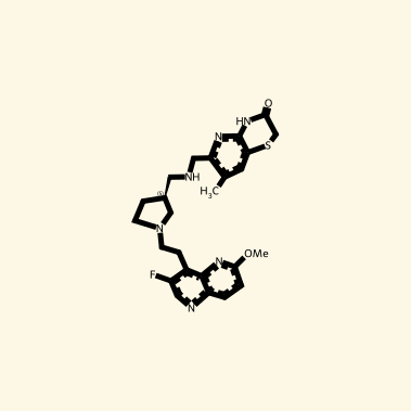 COc1ccc2ncc(F)c(CCN3CC[C@@H](CNCc4nc5c(cc4C)SCC(=O)N5)C3)c2n1